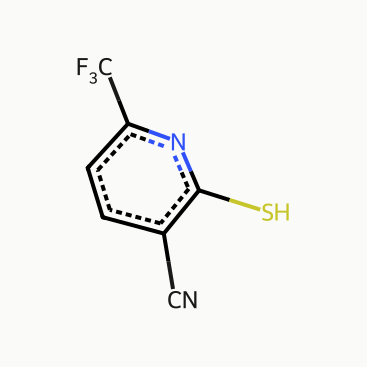 N#Cc1ccc(C(F)(F)F)nc1S